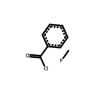 CF.O=C(Cl)c1ccccc1